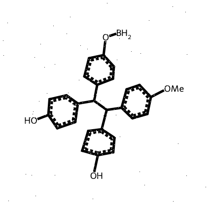 BOc1ccc(C(c2ccc(O)cc2)C(c2ccc(O)cc2)c2ccc(OC)cc2)cc1